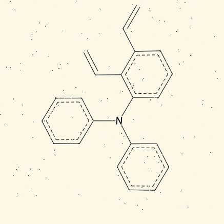 C=Cc1cccc(N(c2ccccc2)c2ccccc2)c1C=C